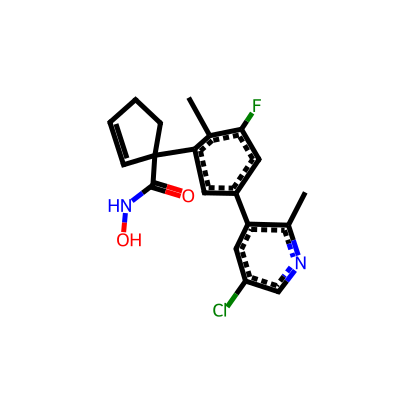 Cc1ncc(Cl)cc1-c1cc(F)c(C)c(C2(C(=O)NO)C=CCC2)c1